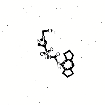 O=C(Nc1c2c(cc3c1CCC3)CCC2)NS(=O)(=O)c1cnn(CC(F)(F)F)c1